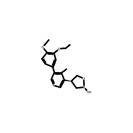 CCOc1cc(-c2cncc([C@H]3COB(O)C3)c2C)ccc1OC